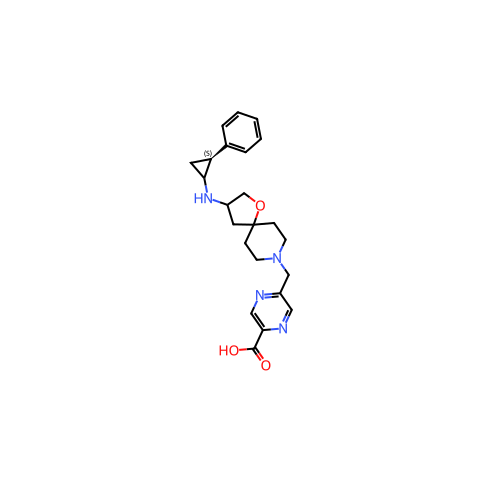 O=C(O)c1cnc(CN2CCC3(CC2)CC(NC2C[C@H]2c2ccccc2)CO3)cn1